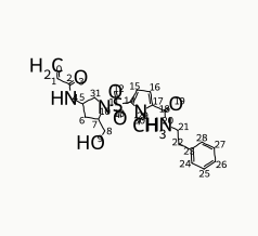 C=CC(=O)NC1CC(CO)N(S(=O)(=O)c2ccc(C(=O)NCCc3ccccc3)n2C)C1